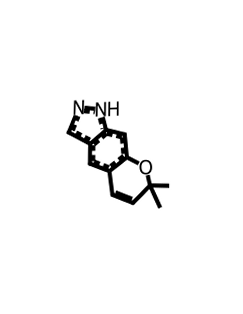 CC1(C)C=Cc2cc3cn[nH]c3cc2O1